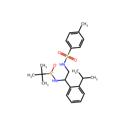 Cc1ccc(S(=O)(=O)NCC(N[S+]([O-])C(C)(C)C)c2ccccc2C(C)C)cc1